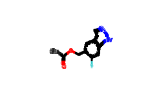 CC(C)(C)C(=O)OCc1cc2cn[nH]c2cc1F